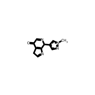 Cn1cc(C2N=CC(=O)C3=C2N=CC3)cn1